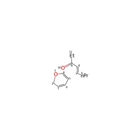 C1=CCOC=C1.CCCC=CC(=O)CC